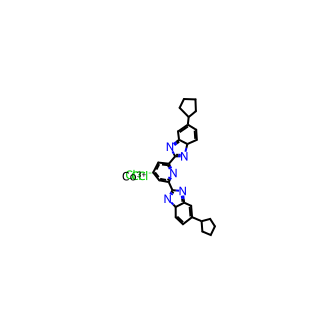 C1=CC2N=C(c3cccc(C4=NC5C=CC(C6CCCC6)=CC5=N4)n3)N=C2C=C1C1CCCC1.[Cl-].[Cl-].[Cl-].[Co+3]